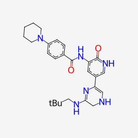 CC(C)(C)CNC1=NC(c2c[nH]c(=O)c(NC(=O)c3ccc(N4CCCCC4)cc3)c2)=CNC1